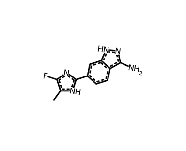 Cc1[nH]c(-c2ccc3c(N)n[nH]c3c2)nc1F